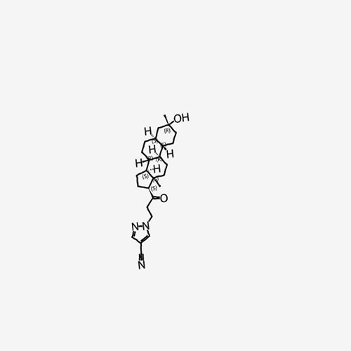 C[C@@]1(O)CC[C@H]2[C@@H](CC[C@@H]3[C@@H]2CC[C@]2(C)[C@@H](C(=O)CCn4cc(C#N)cn4)CC[C@@H]32)C1